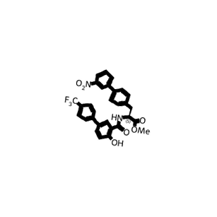 COC(=O)[C@H](Cc1ccc(-c2cccc([N+](=O)[O-])c2)cc1)NC(=O)c1cc(-c2ccc(C(F)(F)F)cc2)ccc1O